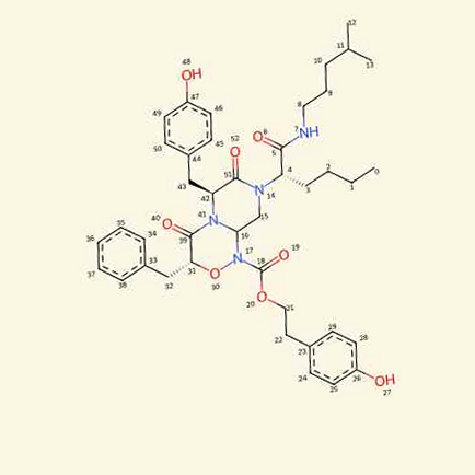 CCCC[C@@H](C(=O)NCCCC(C)C)N1CC2N(C(=O)OCCc3ccc(O)cc3)O[C@H](Cc3ccccc3)C(=O)N2[C@@H](Cc2ccc(O)cc2)C1=O